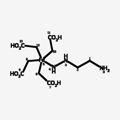 NCCN[NH][Fe]([CH2]C(=O)O)([CH2]C(=O)O)([CH2]C(=O)O)[CH2]C(=O)O